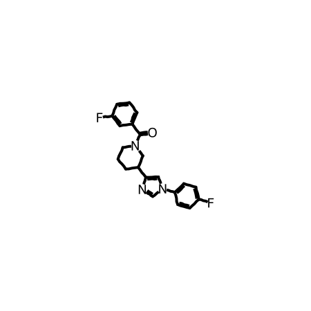 O=C(c1cccc(F)c1)N1CCCC(c2cn(-c3ccc(F)cc3)cn2)C1